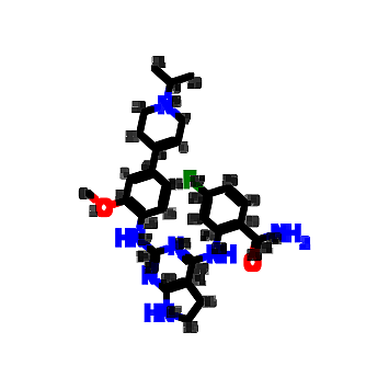 COc1cc(C2=CCN(C(C)C)CC2)ccc1Nc1nc2c(c(Nc3cc(F)ccc3C(N)=O)n1)CCN2